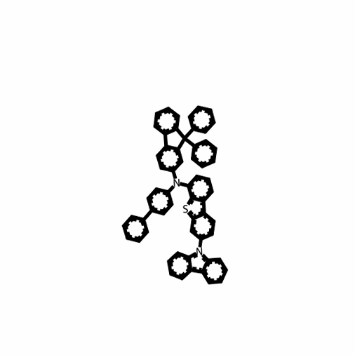 c1ccc(-c2ccc(N(c3ccc4c(c3)C(c3ccccc3)(c3ccccc3)c3ccccc3-4)c3cccc4c3sc3cc(-n5c6ccccc6c6ccccc65)ccc34)cc2)cc1